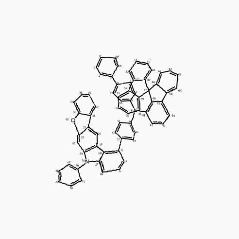 c1ccc(-c2ccc(N(c3ccc(-c4cccc5c4c4cc6c(cc4n5-c4ccccc4)oc4ccccc46)cc3)c3cccc4c3C3(c5ccccc5-c5ccccc53)c3ccccc3-4)cc2)cc1